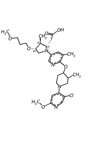 COCCCO[C@H]1CN(c2cnc(OC3CCN(c4cc(OC)ncc4Cl)CC3C)c(C)c2)[C@@H](CC(=O)O)[C@@H]1C